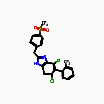 O=S(=O)(c1ccc(Cc2nc3c([nH]2)CC(Cl)C(c2ccccc2C(F)(F)F)=C3Cl)cc1)C(F)(F)F